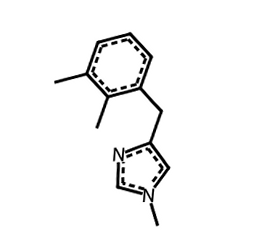 Cc1cccc(Cc2cn(C)cn2)c1C